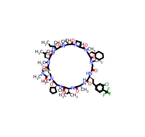 CC[C@H](C)[C@@H]1NC(=O)[C@H](CC(C)C)N(C)C(=O)C[C@@H](C(=O)N(C)C)N(C)C(=O)[C@H](C2CCCC2)N(C)C(=O)[C@H](C(C)C)NC(=O)[C@@H](C)NC(=O)[C@H](CCc2ccc(C(F)(F)F)c(Cl)c2)NC(=O)CN(C)C(=O)[C@H](CC2CCCCC2)N(C)C(=O)[C@@H]2CCN2C(=O)[C@H](C)N(C)C1=O